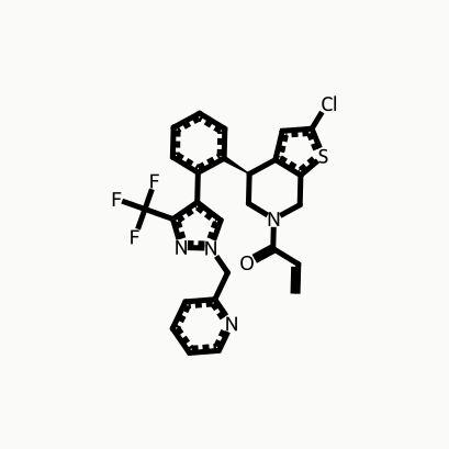 C=CC(=O)N1Cc2sc(Cl)cc2[C@H](c2ccccc2-c2cn(Cc3ccccn3)nc2C(F)(F)F)C1